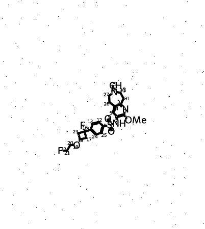 COc1nc2c(cc1NS(=O)(=O)c1ccc([C@]3(F)C[C@H](OCCF)C3)cc1)CCN(C)CC2